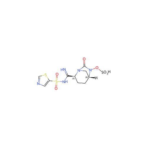 N=C(NS(=O)(=O)c1cncs1)[C@@H]1CC[C@@H]2CN1C(=O)N2OS(=O)(=O)O